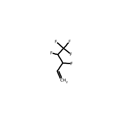 C=CC(F)C(F)C(F)(F)F